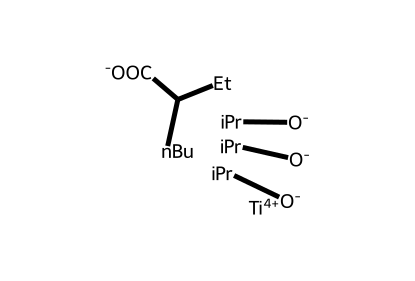 CC(C)[O-].CC(C)[O-].CC(C)[O-].CCCCC(CC)C(=O)[O-].[Ti+4]